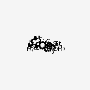 CCO[C@@H](C1C[C@@H](C)[C@H]2C(O1)[C@H](O)[C@@]1(C)CCC[C@H]3C(C)(C)[C@@H](O[C@H]4CN(CC5CNC5)CCO4)CC[C@@]34CC4CC[C@]21C)C(C)(C)O